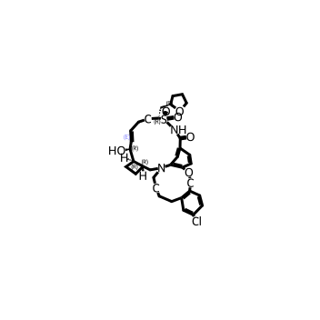 O=C1NS(=O)(=O)[C@@H](C[C@H]2CCCO2)CC/C=C/[C@H](O)[C@@H]2CC[C@H]2CN2CCCCc3cc(Cl)ccc3COc3ccc1cc32